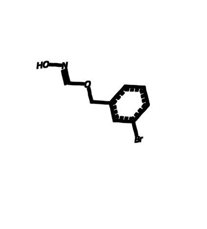 ON=COCc1cccc(Br)c1